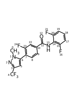 Cn1nc(C(F)(F)F)cc1-c1ccc(C(=O)Nc2c(F)cccc2F)cc1F